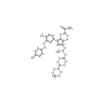 NC(=O)N1CCc2c(c(-c3ccc(Cl)c(CCc4ccc(Cl)cc4)c3)nn2C[C@@H](O)CN2CCC(C3CCNCC3)CC2)C1